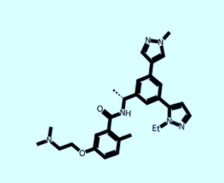 CCn1nccc1-c1cc(-c2cnn(C)c2)cc([C@@H](C)NC(=O)c2cc(OCCN(C)C)ccc2C)c1